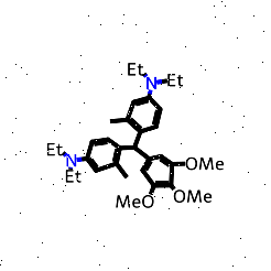 CCN(CC)c1ccc(C(c2cc(OC)c(OC)c(OC)c2)c2ccc(N(CC)CC)cc2C)c(C)c1